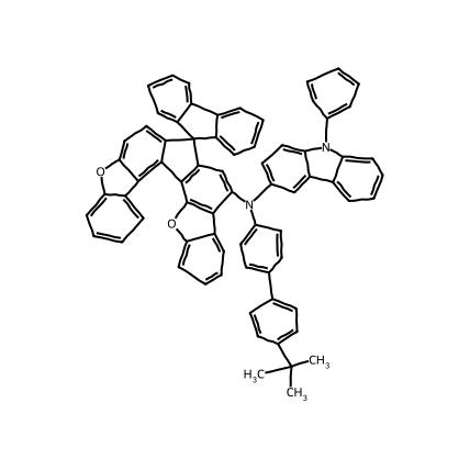 CC(C)(C)c1ccc(-c2ccc(N(c3ccc4c(c3)c3ccccc3n4-c3ccccc3)c3cc4c(c5oc6ccccc6c35)-c3c(ccc5oc6ccccc6c35)C43c4ccccc4-c4ccccc43)cc2)cc1